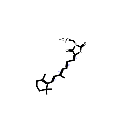 CC1=C(/C=C/C(C)=C/C=C/C=C2/SC(=S)N(CC(=O)O)C2=O)C(C)(C)CCC1